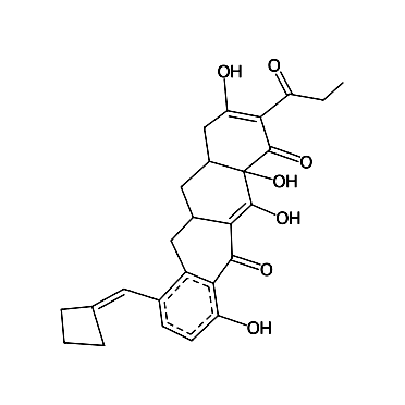 CCC(=O)C1=C(O)CC2CC3Cc4c(C=C5CCC5)ccc(O)c4C(=O)C3=C(O)C2(O)C1=O